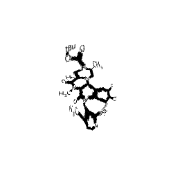 Cc1ccnc(C(C)C)c1-n1c(=O)c2c(c3cc(F)c(Cl)c(F)c31)N1C[C@@H](C)N(C(=O)OC(C)(C)C)C[C@@H]1C(=O)N2C